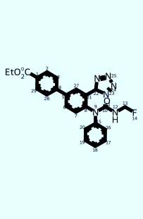 CCOC(=O)c1ccc(-c2ccc(N(C(=O)NCF)c3ccccc3)c(C3N=NN=N3)c2)cc1